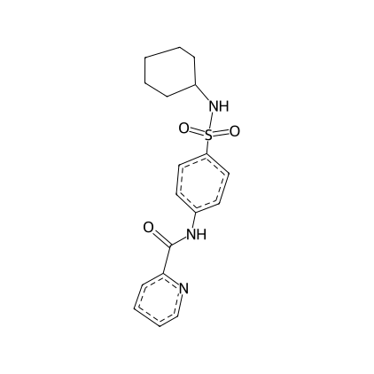 O=C(Nc1ccc(S(=O)(=O)NC2CCCCC2)cc1)c1ccccn1